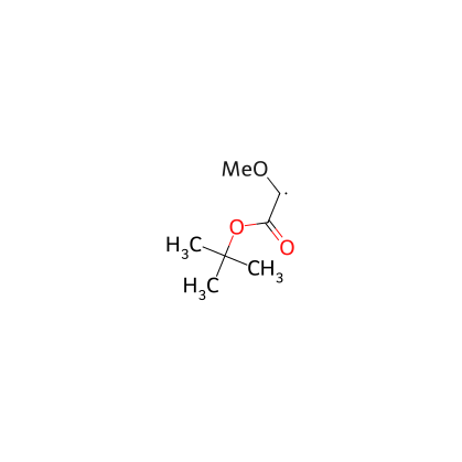 CO[CH]C(=O)OC(C)(C)C